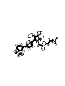 CN(C)CCOC(=O)Cn1nc(C(F)(F)F)c(Cl)c1-c1ccc(-c2cccc(S(C)(=O)=O)c2)o1